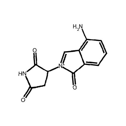 Nc1cccc2c1C=[N+](C1CC(=O)NC1=O)C2=O